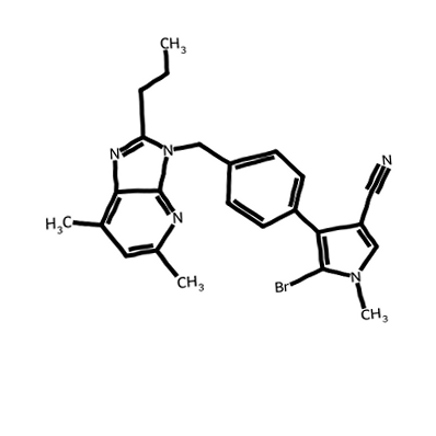 CCCc1nc2c(C)cc(C)nc2n1Cc1ccc(-c2c(C#N)cn(C)c2Br)cc1